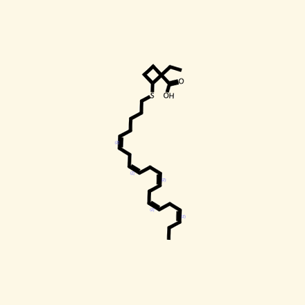 CC/C=C\C/C=C\C/C=C\C/C=C\C/C=C\CCCCSC1CCC1(CC)C(=O)O